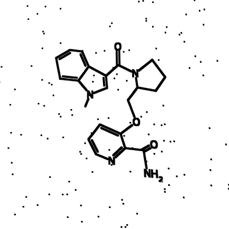 Cn1cc(C(=O)N2CCCC2COc2cccnc2C(N)=O)c2ccccc21